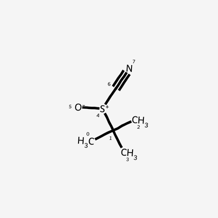 CC(C)(C)[S+]([O-])C#N